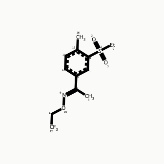 CCS(=O)(=O)c1cc(/C(C)=N/OCC(F)(F)F)ccc1C